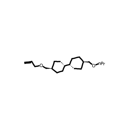 C=CCOC[C@H]1CC[C@H]([C@H]2CC[C@H](COCCC)CC2)CC1